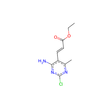 CCOC(=O)/C=C/c1c(C)nc(Cl)nc1N